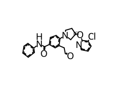 O=CCc1cc(C(=O)Nc2ccccc2)ccc1N1CC[C@H](Oc2ncccc2Cl)C1